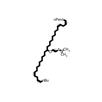 CCCC/C=C\C/C=C\CCCCCCCCC(CCCCCCCC/C=C\C/C=C\CCCCC)O/C=C/SN(C)C